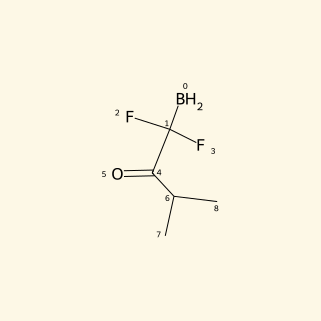 BC(F)(F)C(=O)C(C)C